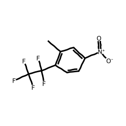 Cc1cc([N+](=O)[O-])ccc1C(F)(F)C(F)(F)F